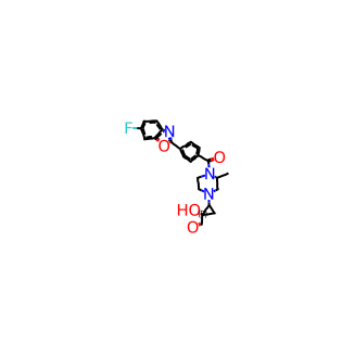 CC1CN(C2C[C@]2(O)C=O)CCN1C(=O)c1ccc(-c2nc3ccc(F)cc3o2)cc1